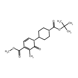 COC(=O)c1ccn(C2CCN(C(=O)OC(C)(C)C)CC2)c(=O)c1C